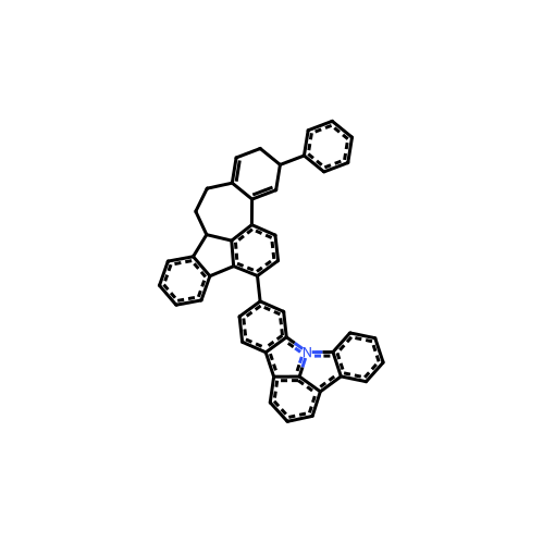 C1=C2CCC3c4ccccc4-c4c(-c5ccc6c7cccc8c9ccccc9n(c6c5)c87)ccc(c43)C2=CC(c2ccccc2)C1